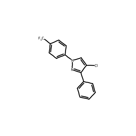 FC(F)(F)c1ccc(-n2cc(Cl)c(-c3ccccc3)n2)cc1